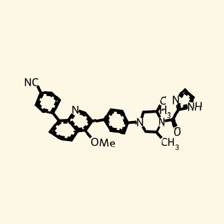 COc1c(-c2ccc(N3CC(C)N(C(=O)c4ncc[nH]4)C(C)C3)cc2)cnc2c(-c3ccc(C#N)cc3)cccc12